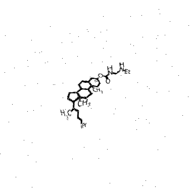 CCNCNC(=O)O[C@H]1CC[C@@]2(C)C(=CCC3C4CCC(C(C)CCCC(C)C)[C@@]4(C)CCC32)C1